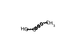 CCCCC[C@H]1CC[C@H](c2ccc(-c3ccc(OCCCCCCO)cc3)cc2)CC1